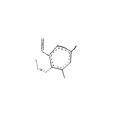 C=Cc1cc(O)cc(C)c1/C=C\C